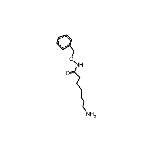 NCCCCCCC(=O)NOCc1ccccc1